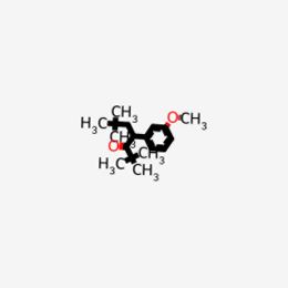 COc1cccc(C(CC(C)(C)C)C(=O)C(C)(C)C)c1